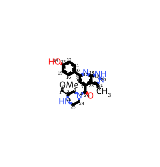 COC[C@H]1CN(C(=O)c2cc(-c3ccc(O)cc3)nc3[nH]nc(C)c23)CCN1